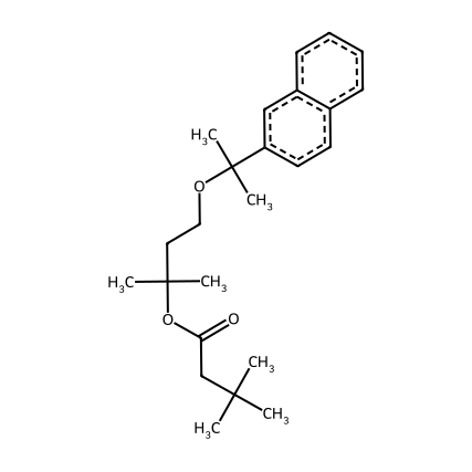 CC(C)(C)CC(=O)OC(C)(C)CCOC(C)(C)c1ccc2ccccc2c1